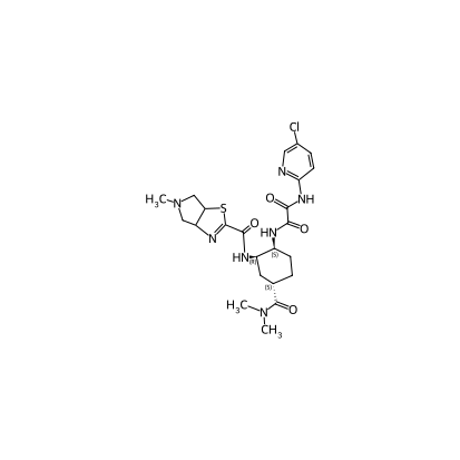 CN1CC2N=C(C(=O)N[C@@H]3C[C@@H](C(=O)N(C)C)CC[C@@H]3NC(=O)C(=O)Nc3ccc(Cl)cn3)SC2C1